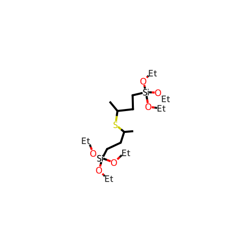 CCO[Si](CCC(C)SC(C)CC[Si](OCC)(OCC)OCC)(OCC)OCC